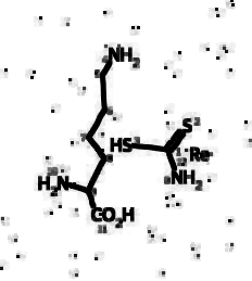 NC(=S)S.NCCCCC(N)C(=O)O.[Re]